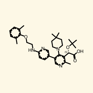 Cc1cccc(C)c1OCCNc1ccc(-c2cnc(C)c([C@H](OC(C)(C)C)C(=O)O)c2N2CCC(C)(C)CC2)cn1